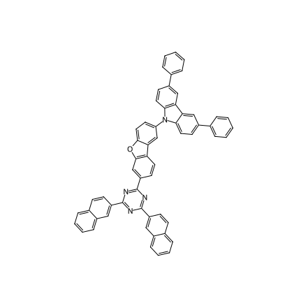 c1ccc(-c2ccc3c(c2)c2cc(-c4ccccc4)ccc2n3-c2ccc3oc4cc(-c5nc(-c6ccc7ccccc7c6)nc(-c6ccc7ccccc7c6)n5)ccc4c3c2)cc1